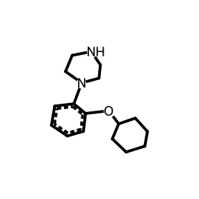 c1ccc(N2CCNCC2)c(OC2CCCCC2)c1